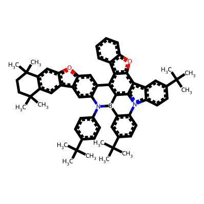 CC(C)(C)c1ccc(N2B3c4cc(C(C)(C)C)ccc4-n4c5ccc(C(C)(C)C)cc5c5c6oc7ccccc7c6c(c3c54)-c3cc4oc5cc6c(cc5c4cc32)C(C)(C)CCC6(C)C)cc1